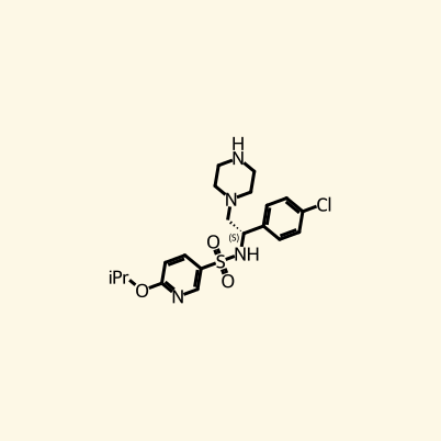 CC(C)Oc1ccc(S(=O)(=O)N[C@H](CN2CCNCC2)c2ccc(Cl)cc2)cn1